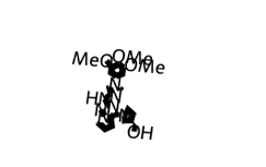 COc1cc(-n2cnc(Nc3nc(N4CC[C@@H](CO)C4)c4cccn4n3)c2)cc(OC)c1OC